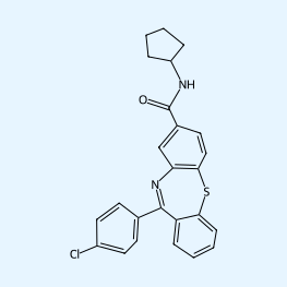 O=C(NC1CCCC1)c1ccc2c(c1)N=C(c1ccc(Cl)cc1)c1ccccc1S2